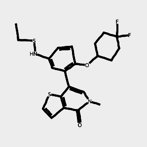 CCSNc1ccc(OC2CCC(F)(F)CC2)c(-c2cn(C)c(=O)c3ccsc23)c1